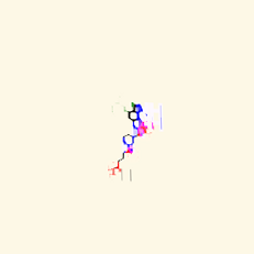 COCCCCC(=O)N1CCCC(CN2Cc3cc(Cl)c4c(Cl)c[nH]c4c3NS2(=O)=O)C1